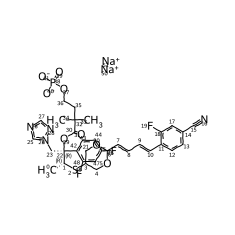 C[C@@H](SC1COC(C=CC=Cc2ccc(C#N)cc2F)OC1)[C@@](Cn1cncn1)(OC(=O)C(C)(C)CCOP(=O)([O-])[O-])c1ccc(F)cc1F.[Na+].[Na+]